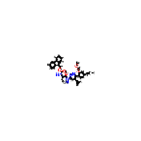 C#Cc1ccc(-c2nnc(NC(=O)[C@@H](CC#N)NC(=O)OCC3c4ccccc4-c4ccccc43)cc2C2CC2)c(OCOCC)c1